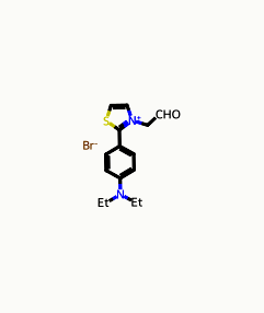 CCN(CC)c1ccc(-c2scc[n+]2CC=O)cc1.[Br-]